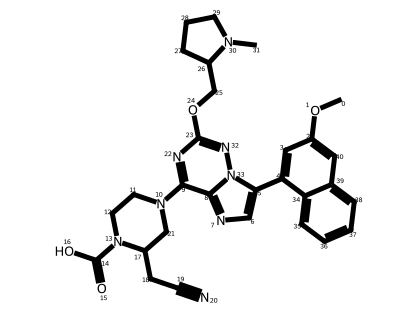 COc1cc(-c2cnc3c(N4CCN(C(=O)O)C(CC#N)C4)nc(OCC4CCCN4C)nn23)c2ccccc2c1